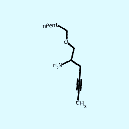 CC#CCC(N)COCCCCCC